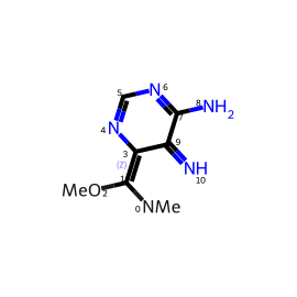 CN/C(OC)=C1/N=CN=C(N)C1=N